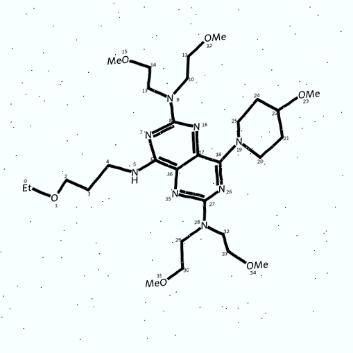 CCOCCCNc1nc(N(CCOC)CCOC)nc2c(N3CCC(OC)CC3)nc(N(CCOC)CCOC)nc12